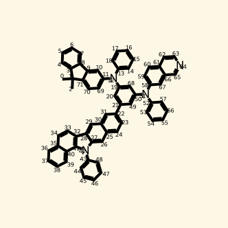 CC1(C)c2ccccc2-c2cc(N(c3ccccc3)c3cc(-c4ccc5cc6c(cc5c4)c4ccc5ccccc5c4n6-c4ccccc4)cc(N(c4ccccc4)c4ccc5ccncc5c4)c3)ccc21